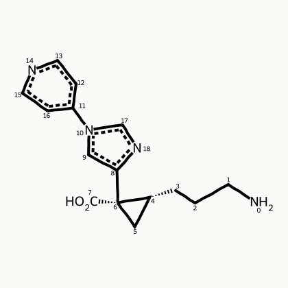 NCCC[C@@H]1C[C@@]1(C(=O)O)c1cn(-c2ccncc2)cn1